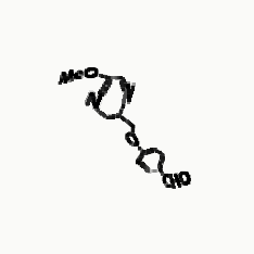 COc1cnc(COc2ccc(C=O)cc2)cn1